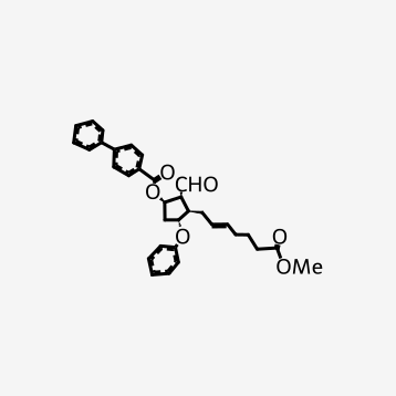 COC(=O)CCCC=CC[C@@H]1[C@@H](C=O)[C@H](OC(=O)c2ccc(-c3ccccc3)cc2)C[C@H]1Oc1ccccc1